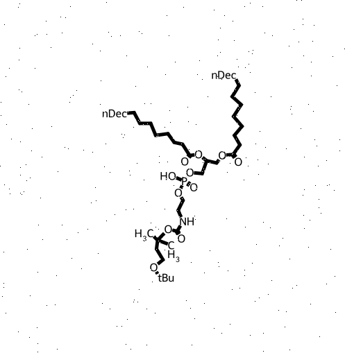 CCCCCCCCCCCCCCCCCC(=O)OCC(COP(=O)(O)OCCNC(=O)OC(C)(C)CCOC(C)(C)C)OC(=O)CCCCCCCCCCCCCCCCC